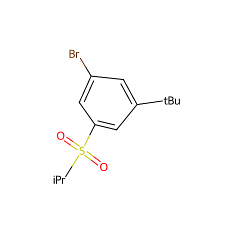 CC(C)S(=O)(=O)c1cc(Br)cc(C(C)(C)C)c1